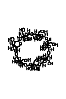 OCC1O[C@@H]2O[C@@H]3C(CO)O[C@H](O[C@]4(O)CO[C@H](O[C@@H]5C(CO)O[C@H](O[C@@H]6C(CO)O[C@@H](O[C@@H]7C(CO)O[C@@H](O[C@@H]8C(CO)O[C@@H](O[C@H]1[C@H](O)C2O)C(O)[C@H]8O)C(O)[C@H]7O)C(O)[C@H]6O)C(O)[C@H]5O)C(O)[C@H]4O)C(O)[C@H]3O